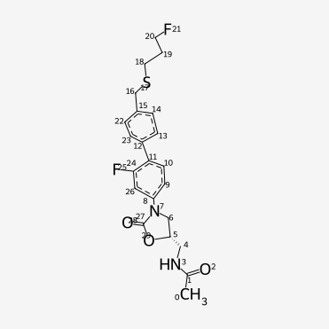 CC(=O)NC[C@H]1CN(c2ccc(-c3ccc(CSCCCF)cc3)c(F)c2)C(=O)O1